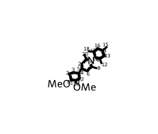 COc1ccc(-c2cc(C)[n+](-c3c(C)cc(C)cc3C)c(C)c2)cc1OC